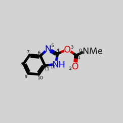 CNC(=O)Oc1nc2ccccc2[nH]1